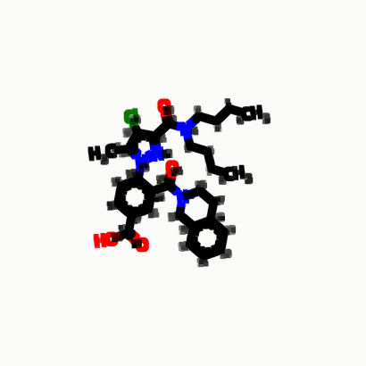 CCCCN(CCCC)C(=O)c1nn(-c2ccc(C(=O)O)cc2C(=O)N2CCc3ccccc3C2)c(C)c1Cl